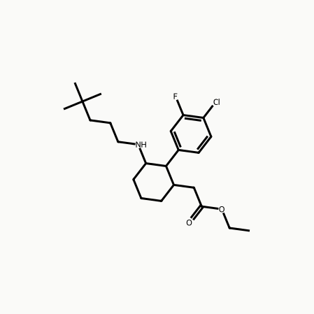 CCOC(=O)CC1CCCC(NCCCC(C)(C)C)C1c1ccc(Cl)c(F)c1